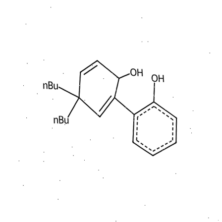 CCCCC1(CCCC)C=CC(O)C(c2ccccc2O)=C1